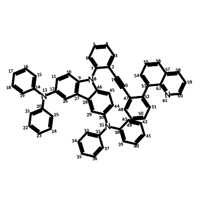 C(#Cc1ccccc1-n1c2ccc(N(c3ccccc3)c3ccccc3)cc2c2cc(N(c3ccccc3)c3ccccc3)ccc21)c1ccccc1-c1cccc2cccnc12